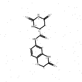 O=C1C[C@H](C(=O)Nc2ccc3c(c2)NC(=O)CO3)NC(=O)N1